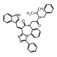 CC(C)N(Cc1ccccc1)C(=O)CN1C(=O)C(=Cc2c[nH]c3ccccc23)c2nnc(-c3ccccc3)n2-c2ccccc21